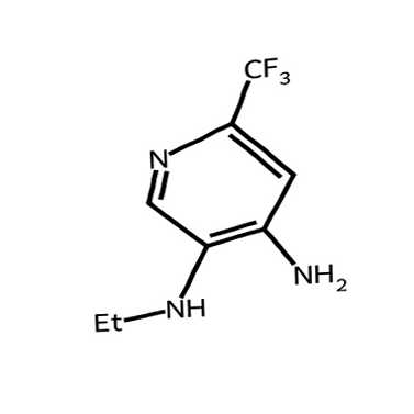 CCNc1cnc(C(F)(F)F)cc1N